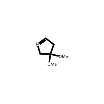 COC1(OC)CC=NC1